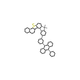 CC1(C)c2ccc(-c3cccc(-c4c5ccccc5c(-c5ccccc5)c5ccccc45)c3)cc2-c2c1ccc1sc3c4ccccc4ccc3c21